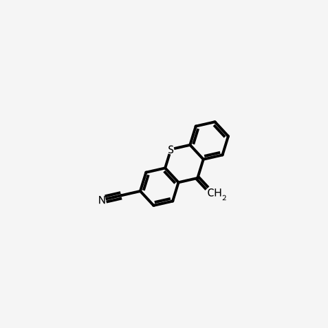 C=C1c2ccccc2Sc2cc(C#N)ccc21